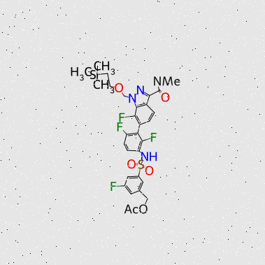 CNC(=O)c1nn(COCC[Si](C)(C)C)c2c(F)c(-c3c(F)ccc(NS(=O)(=O)c4cc(F)cc(COC(C)=O)c4)c3F)ccc12